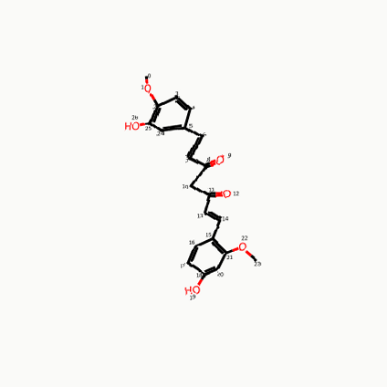 COc1ccc(/C=C/C(=O)CC(=O)/C=C/c2ccc(O)cc2OC)cc1O